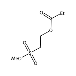 CCC(=O)OCCS(=O)(=O)OC